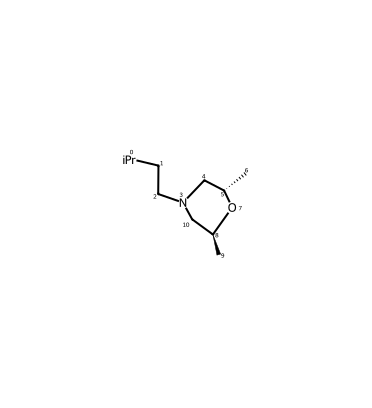 CC(C)CCN1C[C@H](C)O[C@@H](C)C1